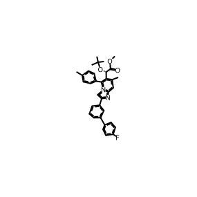 COC(=O)[C@@H](OC(C)(C)C)c1c(C)cc2nc(-c3cccc(-c4ccc(F)cc4)c3)cn2c1-c1ccc(C)cc1